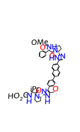 COC(=O)N[C@@H](C(=O)N1CCC[C@H]1c1ncc(-c2ccc3cc(-c4ccc5c(c4)OCc4[nH]c([C@@H]6CCCN6C(=O)[C@@H](NC(=O)O)C(C)C)nc4-5)ccc3c2)[nH]1)c1ccccc1